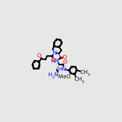 COc1c(NC(=O)[C@H](CCN)NC(=O)[C@@H]2Cc3ccccc3CN2C(=O)CCC(=O)c2ccccc2)ccc(C)c1C